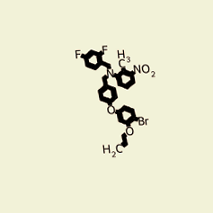 C=CCOc1cc(Oc2ccc(CN(Cc3ccc(F)cc3F)c3cccc([N+](=O)[O-])c3C)cc2)ccc1Br